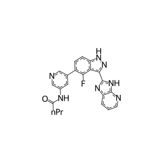 CCCC(=O)Nc1cncc(-c2ccc3[nH]nc(-c4nc5cccnc5[nH]4)c3c2F)c1